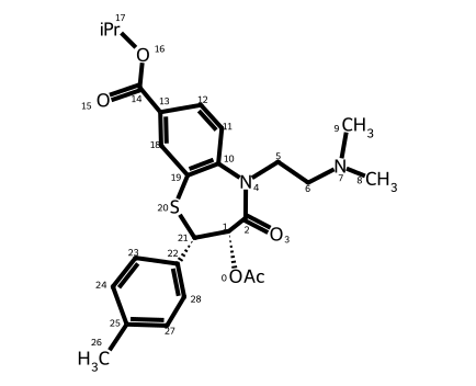 CC(=O)O[C@H]1C(=O)N(CCN(C)C)c2ccc(C(=O)OC(C)C)cc2S[C@H]1c1ccc(C)cc1